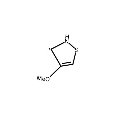 COC1=CSN[C]1